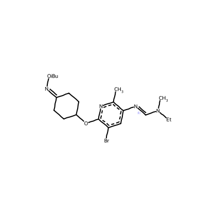 CCN(C)/C=N/c1cc(Br)c(OC2CCC(=NOCC(C)C)CC2)nc1C